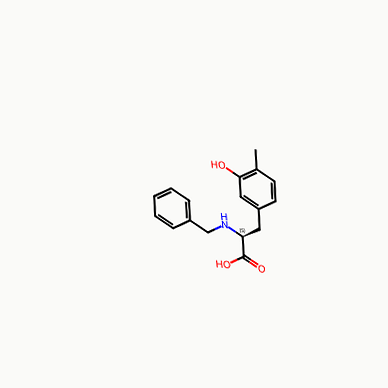 Cc1ccc(C[C@H](NCc2ccccc2)C(=O)O)cc1O